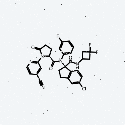 N#Cc1ccnc(N2C(=O)CC[C@H]2C(=O)N(c2cccc(F)c2)[C@]2(C(=O)NC3CC(F)(F)C3)CCc3cc(Cl)ccc32)c1